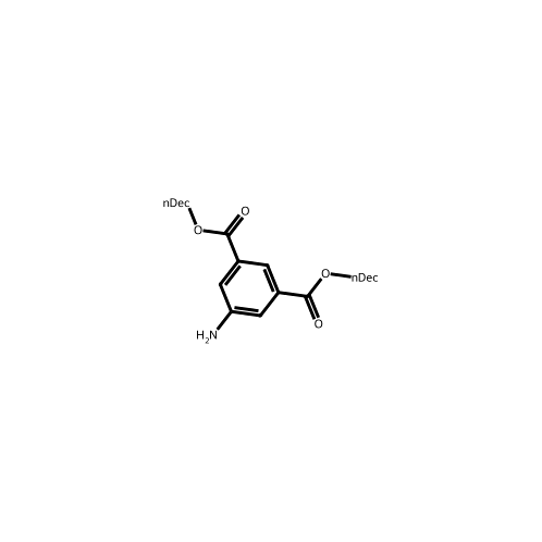 CCCCCCCCCCOC(=O)c1cc(N)cc(C(=O)OCCCCCCCCCC)c1